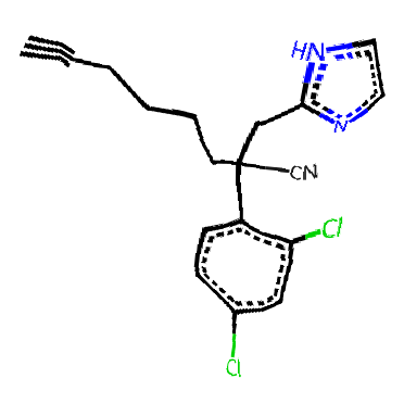 C#CCCCCC(C#N)(Cc1ncc[nH]1)c1ccc(Cl)cc1Cl